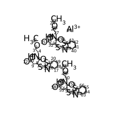 CCOCCNC(=O)C(CC(=O)[O-])Sc1nc2ccccc2s1.CCOCCNC(=O)C(CC(=O)[O-])Sc1nc2ccccc2s1.CCOCCNC(=O)C(CC(=O)[O-])Sc1nc2ccccc2s1.[Al+3]